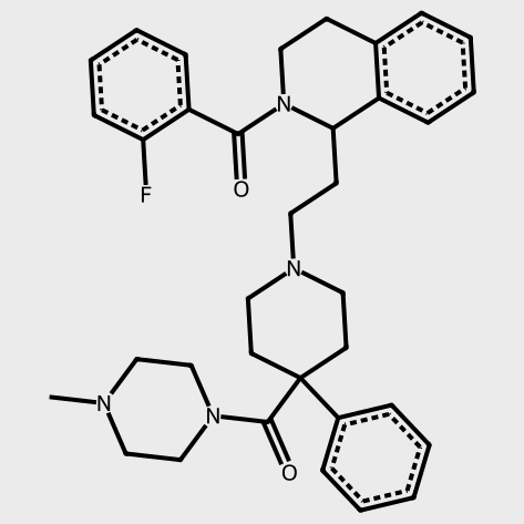 CN1CCN(C(=O)C2(c3ccccc3)CCN(CCC3c4ccccc4CCN3C(=O)c3ccccc3F)CC2)CC1